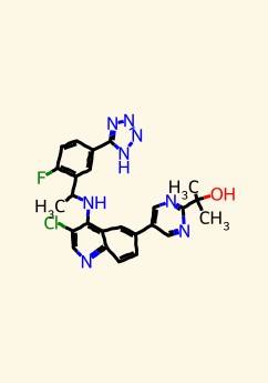 CC(Nc1c(Cl)cnc2ccc(-c3cnc(C(C)(C)O)nc3)cc12)c1cc(-c2nnn[nH]2)ccc1F